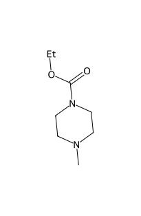 [CH2]COC(=O)N1CCN(C)CC1